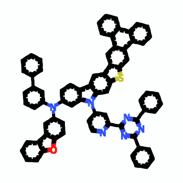 c1ccc(-c2cccc(N(c3ccc4oc5ccccc5c4c3)c3ccc4c5cc6c(cc5n(-c5ccnc(-c7nc(-c8ccccc8)nc(-c8ccccc8)n7)c5)c4c3)sc3cc4c5ccccc5c5ccccc5c4cc36)c2)cc1